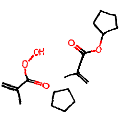 C1CCCC1.C=C(C)C(=O)OC1CCCC1.C=C(C)C(=O)OO